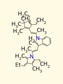 C=CC1=C(C=C)C(C)(C)C(C)=C1/C=C(\C)n1c(C)c(/C=C(\C)n2c(C=C)c(C)/c(=C/CC)c2=C)c2ccccc21